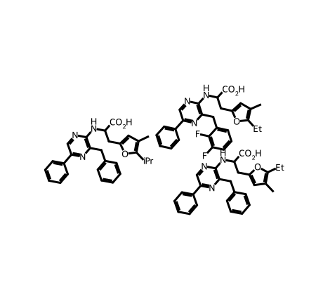 CCc1oc(CC(Nc2ncc(-c3ccccc3)nc2Cc2cccc(F)c2F)C(=O)O)cc1C.CCc1oc(CC(Nc2ncc(-c3ccccc3)nc2Cc2ccccc2)C(=O)O)cc1C.Cc1cc(CC(Nc2ncc(-c3ccccc3)nc2Cc2ccccc2)C(=O)O)oc1C(C)C